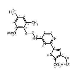 CCOc1cc(-c2nccc(NCCc3c(C)cc(C)cc3OC)n2)sc1C(=O)O